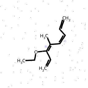 C=C/C=C\C(C)=C(/C=C)OCC